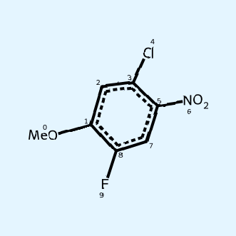 COc1cc(Cl)c([N+](=O)[O-])cc1F